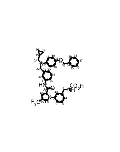 O=C(O)NCc1cccc(-n2nc(C(F)(F)F)cc2C(=O)Nc2cccc(CN(CC3CC3)c3ccc(OCc4ccccc4)cc3)c2)c1